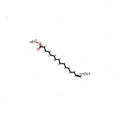 CCCCCCCC/C=C\CCCCCCCCCCCCCC(=O)OCCC